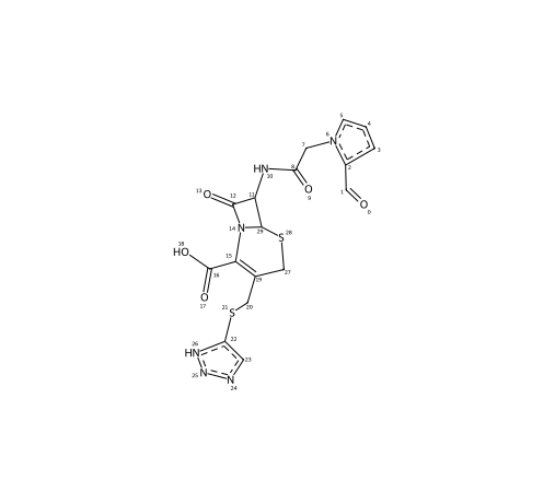 O=Cc1cccn1CC(=O)NC1C(=O)N2C(C(=O)O)=C(CSc3cnn[nH]3)CSC12